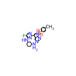 Cc1ccc(S(=O)(=O)n2cc(-c3ncc(F)c(N[C@H]4CCC[C@@H](N)C4)n3)c3cncnc32)cc1